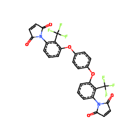 O=C1C=CC(=O)N1c1cccc(Oc2ccc(Oc3cccc(N4C(=O)C=CC4=O)c3C(F)(F)F)cc2)c1C(F)(F)F